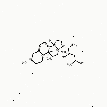 CC(C)C(C)CC(O)C(C)[C@H]1CC[C@H]2C3=CC=C4C[C@@H](O)CC[C@]4(C)[C@H]3CC[C@]12C